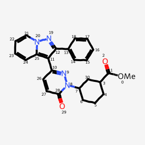 COC(=O)C1CCCC(n2nc(-c3c(-c4ccccc4)nn4ccccc34)ccc2=O)C1